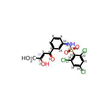 O=C(O)/C(O)=C/C(=O)c1cccc(NS(=O)(=O)c2c(Cl)cc(Cl)cc2Cl)c1